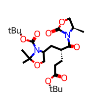 C[C@@H]1COC(=O)N1C(=O)[C@H](CCC(=O)OC(C)(C)C)CC1COC(C)(C)N1C(=O)OC(C)(C)C